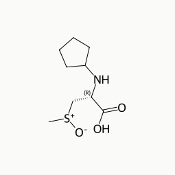 C[S+]([O-])C[C@H](NC1CCCC1)C(=O)O